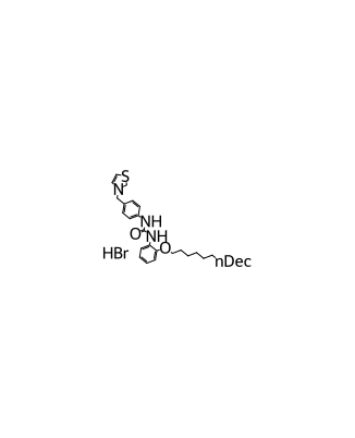 Br.CCCCCCCCCCCCCCCCOc1ccccc1NC(=O)Nc1ccc(CN2C=CSC2)cc1